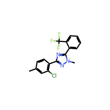 Cc1ccc(-c2nc(-c3ccccc3C(F)(F)F)n(C)n2)c(Cl)c1